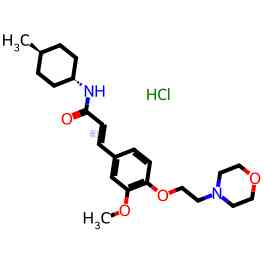 COc1cc(/C=C/C(=O)N[C@H]2CC[C@H](C)CC2)ccc1OCCN1CCOCC1.Cl